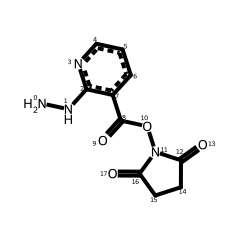 NNc1ncccc1C(=O)ON1C(=O)CCC1=O